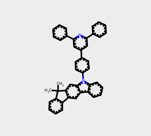 CC1(C)c2ccccc2-c2cc3c4ccccc4n(-c4ccc(-c5cc(-c6ccccc6)nc(-c6ccccc6)c5)cc4)c3cc21